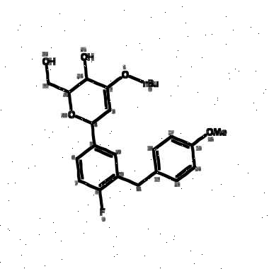 CCCCOC1=CC(c2ccc(F)c(Cc3ccc(OC)cc3)c2)OC(CO)C1O